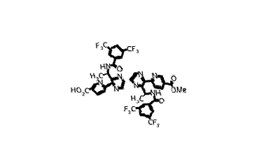 COC(=O)c1ccc(-c2nccnc2[C@@H](C)NC(=O)c2cc(C(F)(F)F)cc(C(F)(F)F)c2)nc1.C[C@@H](NC(=O)c1cc(C(F)(F)F)cc(C(F)(F)F)c1)c1nccnc1-c1ccc(C(=O)O)cn1